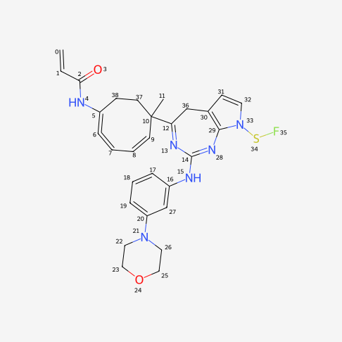 C=CC(=O)NC1=C=C/C=C\C(C)(C2=NC(Nc3cccc(N4CCOCC4)c3)=Nc3c(ccn3SF)C2)CC1